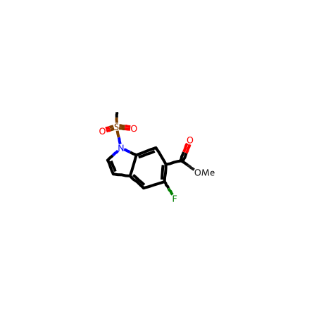 COC(=O)c1cc2c(ccn2S(C)(=O)=O)cc1F